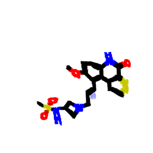 COc1ccc2[nH]c(=O)c3sccc3c2c1/C=C/CN1CC(NS(C)(=O)=O)C1